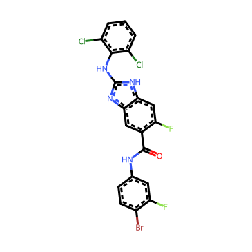 O=C(Nc1ccc(Br)c(F)c1)c1cc2nc(Nc3c(Cl)cccc3Cl)[nH]c2cc1F